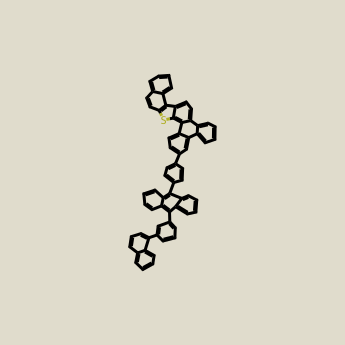 c1cc(-c2cccc3ccccc23)cc(-c2c3ccccc3c(-c3ccc(-c4ccc5c(c4)c4ccccc4c4ccc6c(sc7ccc8ccccc8c76)c45)cc3)c3ccccc23)c1